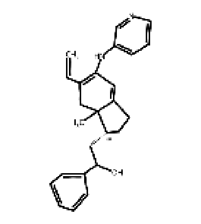 C=CC1=C(Nc2cccnc2)C=C2CC[C@H](CC(O)c3ccccc3)C2(C)C1